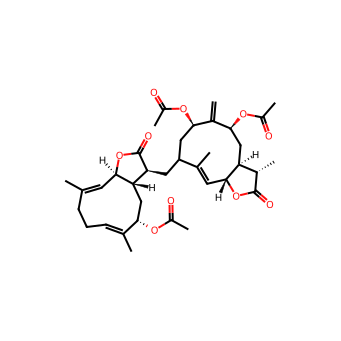 C=C1[C@@H](OC(C)=O)C[C@H]2[C@H](C)C(=O)O[C@@H]2/C=C(\C)C(C[C@@H]2C(=O)O[C@@H]3/C=C(\C)CC/C=C(\C)[C@@H](OC(C)=O)C[C@@H]23)C[C@H]1OC(C)=O